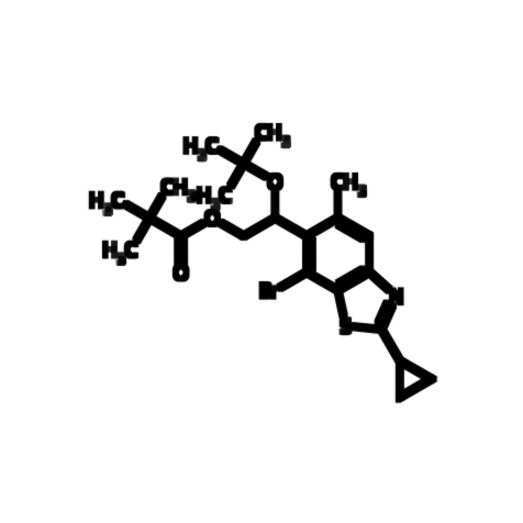 Cc1cc2nc(C3CC3)sc2c(Br)c1C(COC(=O)C(C)(C)C)OC(C)(C)C